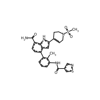 Cc1c(NC(=O)c2cnsc2)cccc1-c1ccc(C(N)=O)c2[nH]c(C3=CCN(S(C)(=O)=O)CC3)cc12